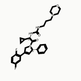 O=C(NCCCN1CCOCC1)N[C@H](C(=O)N1CC(c2cc(F)ccc2F)=C[C@H]1c1ccccc1)C1CC1